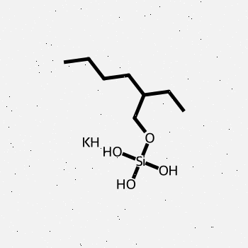 CCCCC(CC)CO[Si](O)(O)O.[KH]